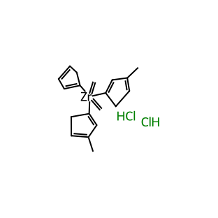 Cl.Cl.[CH2]=[Zr](=[CH2])([C]1=CC=CC1)([C]1=CC(C)=CC1)[C]1=CC(C)=CC1